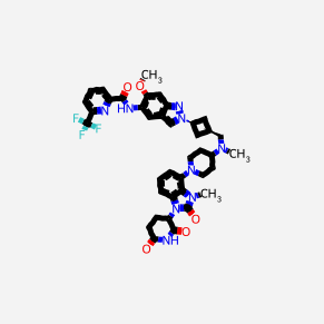 COc1cc2nn([C@H]3C[C@H](CN(C)C4CCN(c5cccc6c5n(C)c(=O)n6C5CCC(=O)NC5=O)CC4)C3)cc2cc1NC(=O)c1cccc(C(F)(F)F)n1